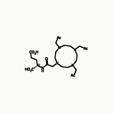 CC(=O)CN1CCN(CC(C)=O)CCN(CC(=O)N[C@@H](CCC(=O)O)C(=O)O)CCN(CC(C)=O)CC1